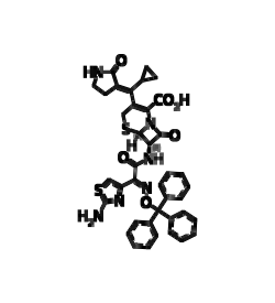 Nc1nc(C(=NOC(c2ccccc2)(c2ccccc2)c2ccccc2)C(=O)N[C@@H]2C(=O)N3C(C(=O)O)=C(C(=C4CCNC4=O)C4CC4)CS[C@H]23)cs1